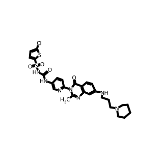 Cc1nc2cc(NCCCN3CCCCC3)ccc2c(=O)n1-c1ccc(NC(=O)NS(=O)(=O)c2ccc(Cl)s2)cn1